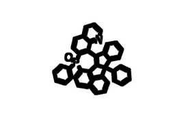 O=P1(c2ccccc2)c2ccccc2C2=C(c3ccccc3C2(c2ccccc2)c2ccccc2)c2c1ccc1cccnc21